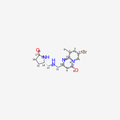 Cc1cc(Br)cn2c(=O)cc(CNC[C@@H]3CCC(=O)N3)nc12